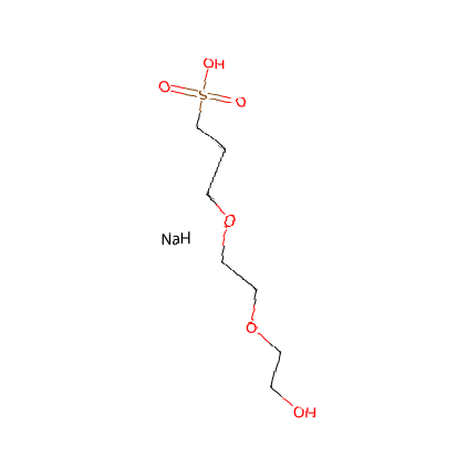 O=S(=O)(O)CCCOCCOCCO.[NaH]